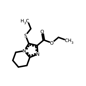 CCOC(=O)c1nc2n(c1SCC)CCCC2